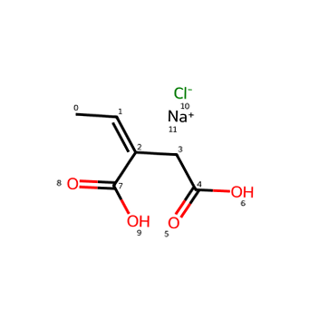 CC=C(CC(=O)O)C(=O)O.[Cl-].[Na+]